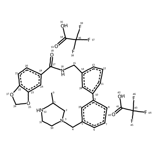 CC1CN(Cc2cccc(-c3cccc(CNC(=O)c4ccc5c(c4)OCO5)c3)c2)CCN1.O=C(O)C(F)(F)F.O=C(O)C(F)(F)F